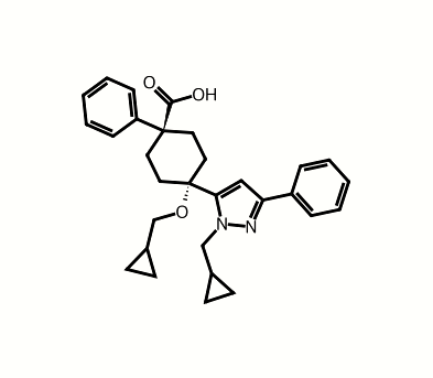 O=C(O)[C@]1(c2ccccc2)CC[C@](OCC2CC2)(c2cc(-c3ccccc3)nn2CC2CC2)CC1